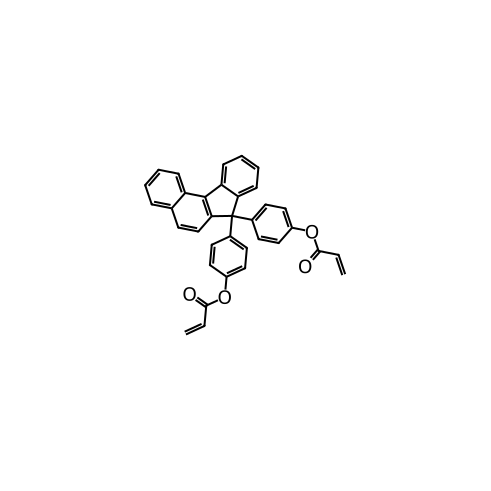 C=CC(=O)Oc1ccc(C2(c3ccc(OC(=O)C=C)cc3)c3ccccc3-c3c2ccc2ccccc32)cc1